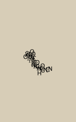 CN1CCN([13CH2][13C](=O)[15NH][13CH2]CN(C)[13C](=O)[13CH2][13CH2][13C](=O)ON2C(=O)CCC2=O)CC1